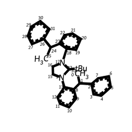 CC(c1ccccc1)c1ccccc1N1CCN(c2ccccc2C(C)c2ccccc2)C1C(C)(C)C